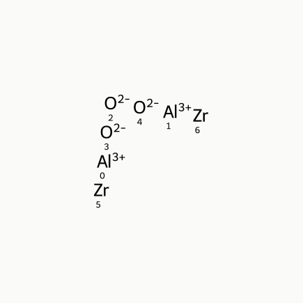 [Al+3].[Al+3].[O-2].[O-2].[O-2].[Zr].[Zr]